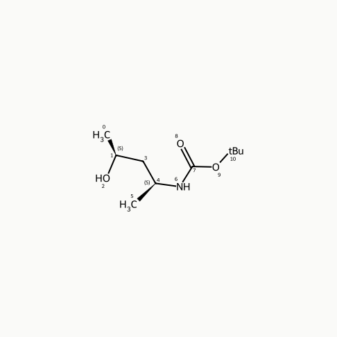 C[C@H](O)C[C@H](C)NC(=O)OC(C)(C)C